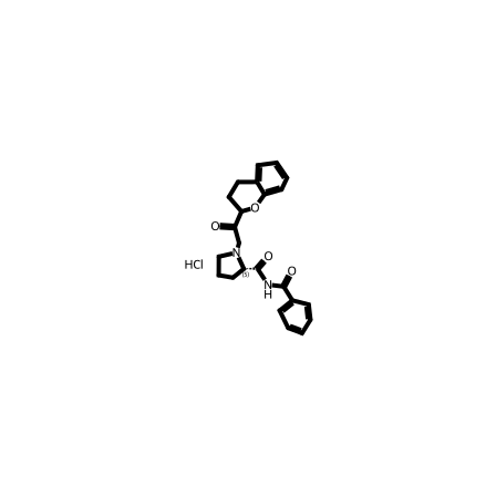 Cl.O=C(NC(=O)[C@@H]1CCCN1CC(=O)C1CCc2ccccc2O1)c1ccccc1